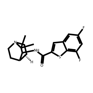 CC1(C)[C@@H](NC(=O)c2cc3cc(F)cc(F)c3s2)C2CCN1CC2